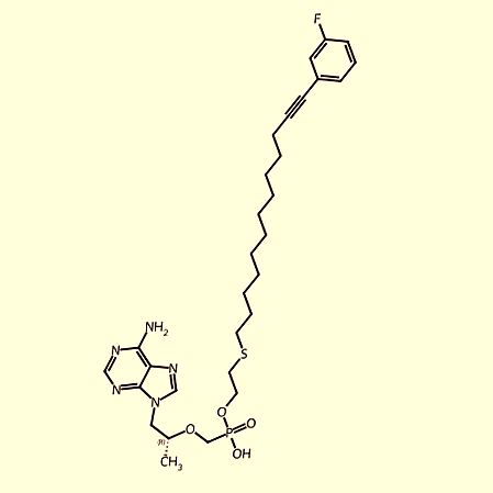 C[C@H](Cn1cnc2c(N)ncnc21)OCP(=O)(O)OCCSCCCCCCCCCCCC#Cc1cccc(F)c1